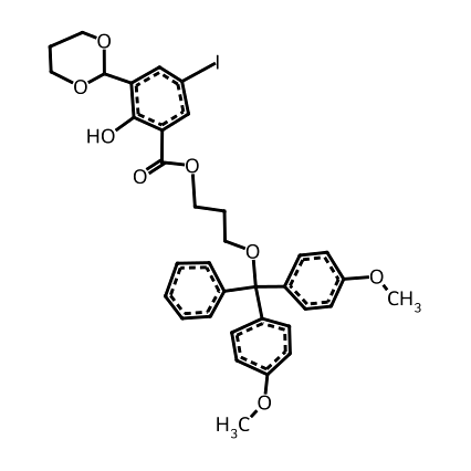 COc1ccc(C(OCCCOC(=O)c2cc(I)cc(C3OCCCO3)c2O)(c2ccccc2)c2ccc(OC)cc2)cc1